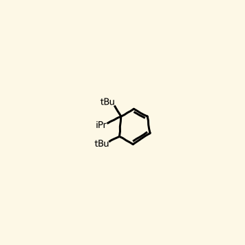 CC(C)C1(C(C)(C)C)C=CC=CC1C(C)(C)C